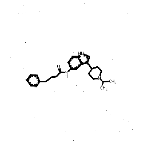 CC(C)N1CCC(c2c[nH]c3ccc(NC(=O)CCCc4ccccc4)cc23)CC1